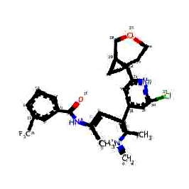 C=N/C(C)=C(\C=C(/C)NC(=O)c1cccc(C(F)(F)F)c1)c1cc(Cl)nc(C23CCOCC2C3)c1